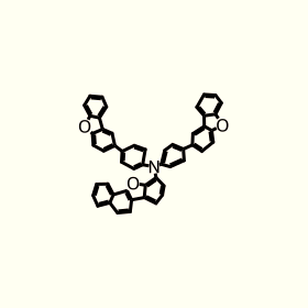 c1ccc2c(c1)ccc1c3cccc(N(c4ccc(-c5ccc6oc7ccccc7c6c5)cc4)c4ccc(-c5ccc6oc7ccccc7c6c5)cc4)c3oc21